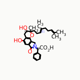 CC(C)=CCC/C(C)=C/CC[C@]1(C)Oc2c(c(O)cc3c2CN([C@H](C(=O)O)c2ccccc2)C3=O)C[C@@H]1O